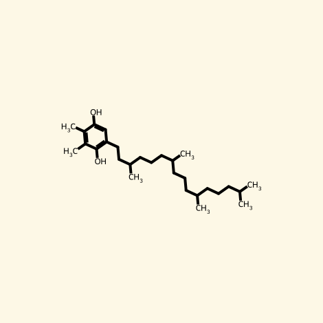 Cc1c(O)cc(CCC(C)CCCC(C)CCCC(C)CCCC(C)C)c(O)c1C